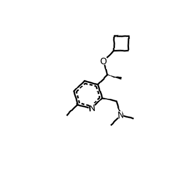 Cc1ccc([C@H](C)OC2CCC2)c(CN(C)C)n1